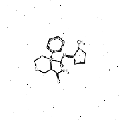 CN1CCSC1=NC(=O)[N+]1(c2ccccc2)CCOCC1C(N)=O